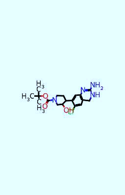 CC(C)(C)OC(=O)N1CCC(c2cc3c(cc2Cl)CNC(N)=N3)C(O)C1